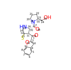 O=C(c1cc2ccccc2o1)C1C(=S)CN[C@@H]1C(=O)N1CCC[C@H]1CO